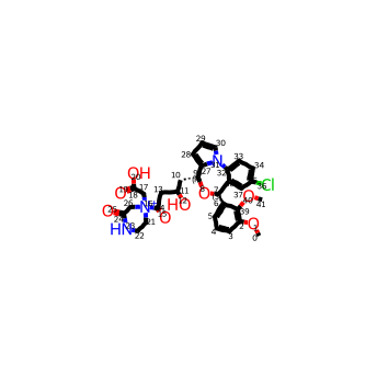 COc1cccc([C@H]2O[C@H](CC(O)CC(=O)[N+]3(CC(=O)O)CCNC(=O)C3)c3cccn3-c3ccc(Cl)cc32)c1OC